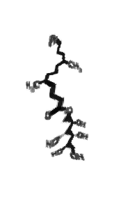 CC(=CCCC(=O)OC[C@@H](O)[C@@H](O)[C@H](O)[C@H](O)CO)CCCC(C)CCCC(C)C